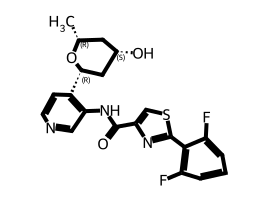 C[C@@H]1C[C@H](O)C[C@H](c2ccncc2NC(=O)c2csc(-c3c(F)cccc3F)n2)O1